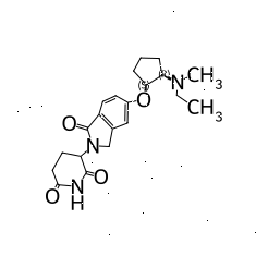 CCN(C)[C@@H]1CCC[C@@H]1Oc1ccc2c(c1)CN(C1CCC(=O)NC1=O)C2=O